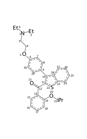 CCN(CC)CCOc1ccc(-c2c(C(=O)c3ccccc3OC(C)C)sc3ccccc23)cc1